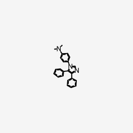 CN(C)c1ccc(-n2cnc(-c3ccccc3)c2-c2ccccc2)cc1